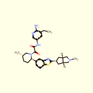 CCc1cc(NC(=O)C(=O)N2C[C@@H](C)CC[C@@H]2c2ccc3sc([C@H]4C[C@@H]5CN(C)C[C@@H]5C4)nc3c2)cnc1N